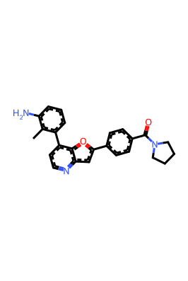 Cc1c(N)cccc1-c1ccnc2cc(-c3ccc(C(=O)N4CCCC4)cc3)oc12